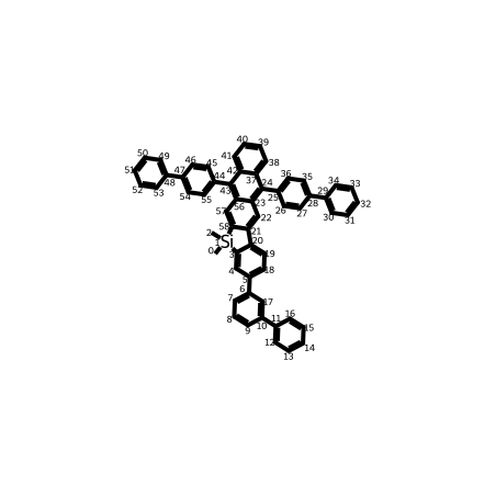 C[Si]1(C)c2cc(-c3cccc(-c4ccccc4)c3)ccc2-c2cc3c(-c4ccc(-c5ccccc5)cc4)c4ccccc4c(-c4ccc(-c5ccccc5)cc4)c3cc21